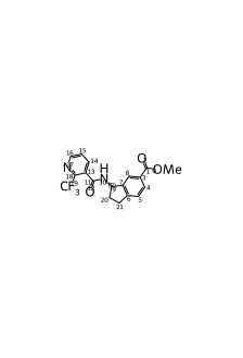 COC(=O)c1ccc2c(c1)[C@H](NC(=O)c1cccnc1C(F)(F)F)CC2